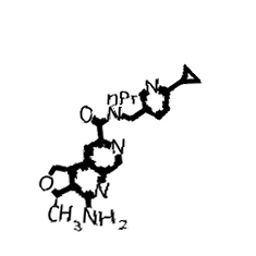 CCCN(Cc1ccc(C2CC2)nc1)C(=O)c1cc2c3c(c(N)nc2cn1)[C@H](C)OC3